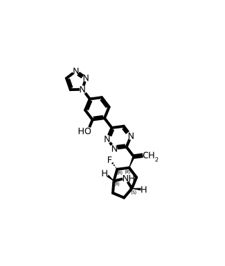 C=C(c1ncc(-c2ccc(-n3ccnn3)cc2O)nn1)[C@H]1C[C@@H]2CC[C@@H](N2)[C@@H]1F